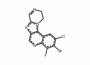 Fc1c(Br)c(Cl)cc2c1ncc1nc3n(c12)CCN=C3